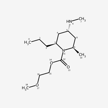 CCC[C@H]1C[C@H](NC)C[C@@H](C)N1C(=O)OCCOC